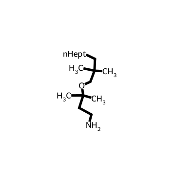 CCCCCCCCC(C)(C)COC(C)(C)CCN